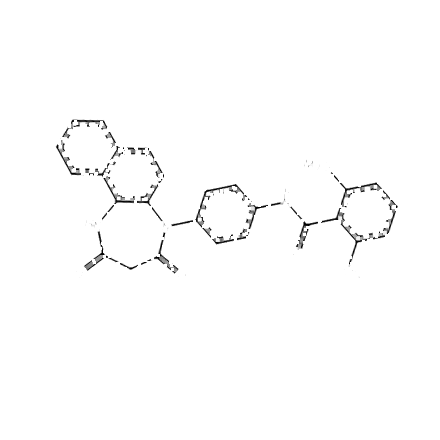 COc1cccc(C(F)(F)F)c1C(=O)Nc1ccc(N2C(=O)CC(=O)Nc3c2ccc2ccccc32)cc1